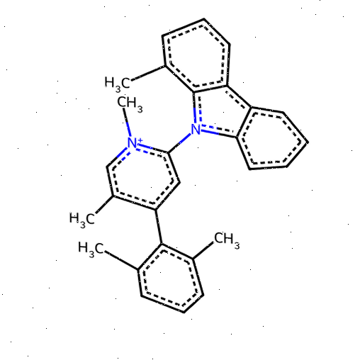 Cc1c[n+](C)c(-n2c3ccccc3c3cccc(C)c32)cc1-c1c(C)cccc1C